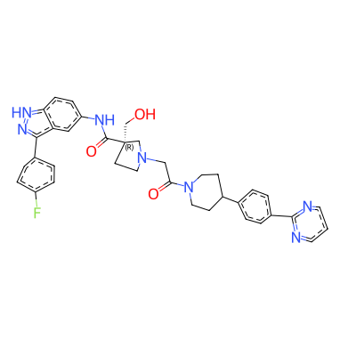 O=C(CN1CC[C@@](CO)(C(=O)Nc2ccc3[nH]nc(-c4ccc(F)cc4)c3c2)C1)N1CCC(c2ccc(-c3ncccn3)cc2)CC1